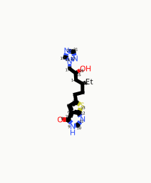 CCC(CCc1cc2c(=O)[nH]cnc2s1)CC(O)Cn1cncn1